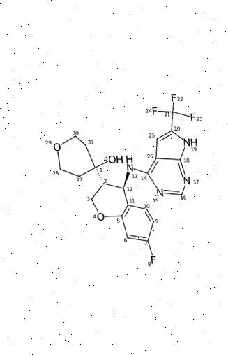 OC1([C@H]2COc3cc(F)ccc3[C@@H]2Nc2ncnc3[nH]c(C(F)(F)F)cc23)CCOCC1